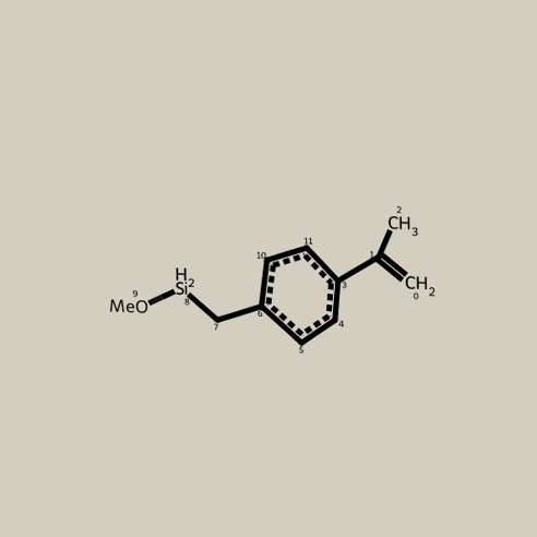 C=C(C)c1ccc(C[SiH2]OC)cc1